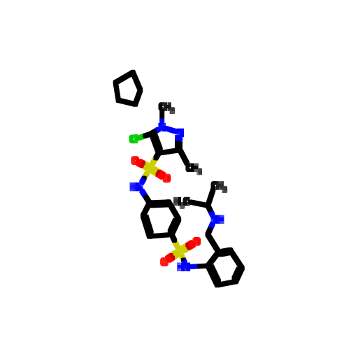 C1CCCC1.Cc1nn(C)c(Cl)c1S(=O)(=O)Nc1ccc(S(=O)(=O)Nc2ccccc2CNC(C)C)cc1